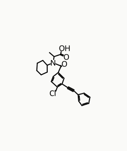 CC(C(=O)O)N(C(=O)c1ccc(Cl)c(C#Cc2ccccc2)c1)C1CCCCC1